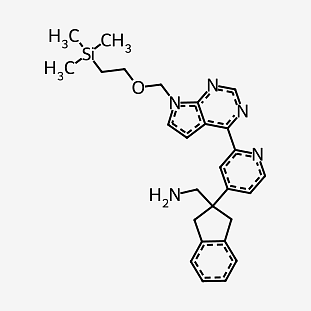 C[Si](C)(C)CCOCn1ccc2c(-c3cc(C4(CN)Cc5ccccc5C4)ccn3)ncnc21